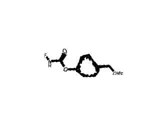 COCc1ccc(OC(=O)NF)cc1